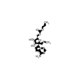 C=CCOC(=O)OC[C@H]1O[C@@](C=NC)(c2ccc3c(N)ncnn23)[C@H](O)[C@@H]1O